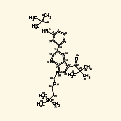 CC(C)(C)CNc1cccc(-c2cnc3c(n2)c(C(=O)C(C)(C)C)cn3COCC[Si](C)(C)C)c1